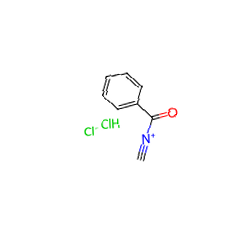 C#[N+]C(=O)c1ccccc1.Cl.[Cl-]